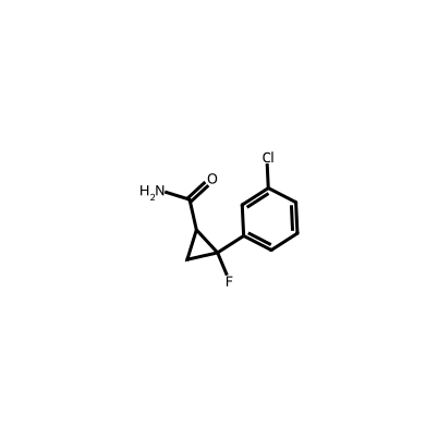 NC(=O)C1CC1(F)c1cccc(Cl)c1